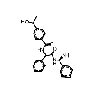 CC(O)c1ccc(C(=O)NC(C(=O)NC(=N)c2ccccc2)c2ccccc2)cc1